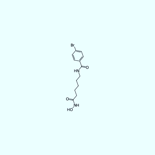 O=C(CCCCCNC(=O)c1ccc(Br)cc1)NO